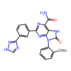 COc1ccccc1-n1c(=O)[nH]c2c(C(N)=O)nc(-c3cccc(-c4nc[nH]n4)c3)nc21